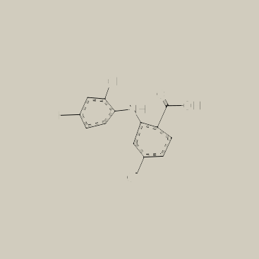 Cc1cc(I)ccc1Nc1cc(Cl)ccc1C(=O)O